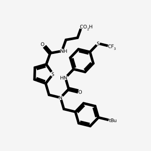 CC(C)(C)c1ccc(CN(Cc2ccc(C(=O)NCCC(=O)O)s2)C(=O)Nc2ccc(SC(F)(F)F)cc2)cc1